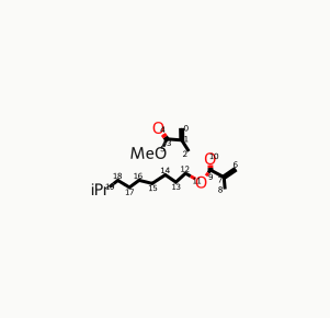 C=C(C)C(=O)OC.C=C(C)C(=O)OCCCCCCCC(C)C